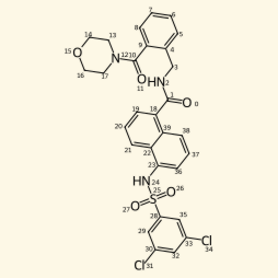 O=C(NCc1ccccc1C(=O)N1CCOCC1)c1cccc2c(NS(=O)(=O)c3cc(Cl)cc(Cl)c3)cccc12